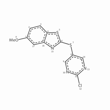 COc1ccc2sc(Sc3cnc(Cl)nc3)nc2c1